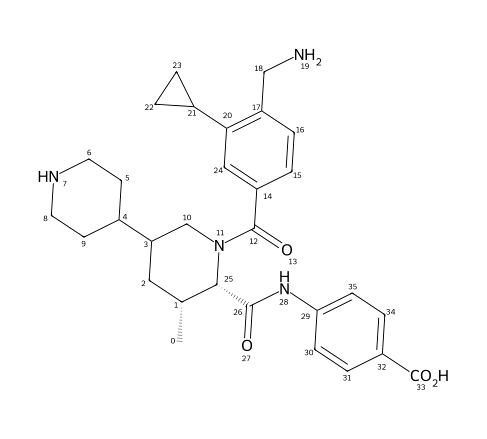 C[C@@H]1CC(C2CCNCC2)CN(C(=O)c2ccc(CN)c(C3CC3)c2)[C@@H]1C(=O)Nc1ccc(C(=O)O)cc1